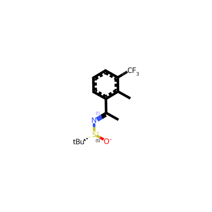 C/C(=N\[S@+]([O-])C(C)(C)C)c1cccc(C(F)(F)F)c1C